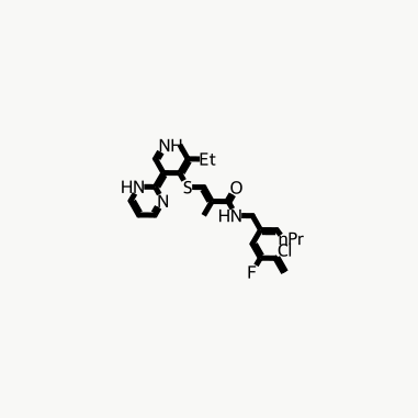 C=C(Cl)/C(F)=C\C(=C/CCC)CNC(=O)/C(C)=C/SC(=C(/C)CC)/C(C=N)=C1\N=CC=CN1